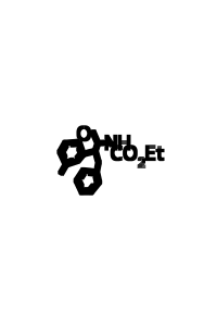 CCOC(=O)NC1COc2ccc(C)cc2C1Cc1ccccc1